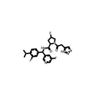 CC(C)c1ccc(C(NC(=O)C2CC(F)CN2C(=O)Cc2cnn[nH]2)c2cncc(F)c2)cc1F